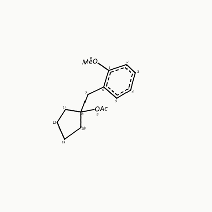 COc1ccccc1CC1(OC(C)=O)CCCC1